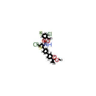 CCOC(=O)C1(c2ccc(-c3ccc(-c4sc(Cl)cc4NC(=O)O[C@H](C)c4ccc(F)cc4Cl)cc3)cc2)CC1